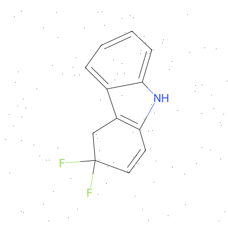 FC1(F)C=Cc2[nH]c3ccccc3c2C1